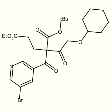 CCOC(=O)CCC(C(=O)COC1CCCCC1)(C(=O)OC(C)(C)C)C(=O)c1cncc(Br)c1